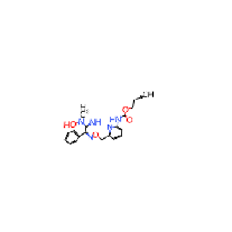 C#CCCOC(=O)Nc1cccc(CON=C(C(=N)N(C)O)c2ccccc2)n1